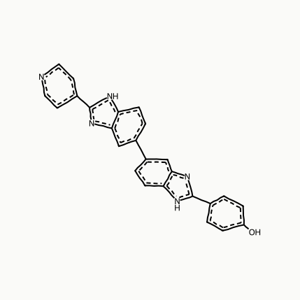 Oc1ccc(-c2nc3cc(-c4ccc5[nH]c(-c6ccncc6)nc5c4)ccc3[nH]2)cc1